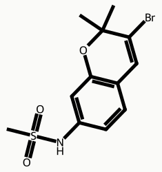 CC1(C)Oc2cc(NS(C)(=O)=O)ccc2C=C1Br